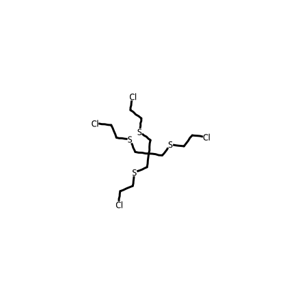 ClCCSCC(CSCCCl)(CSCCCl)CSCCCl